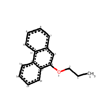 CCCOc1cc2ccccc2c2ccccc12